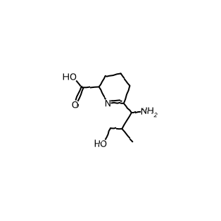 CC(CO)C(N)C1=NC(C(=O)O)CCC1